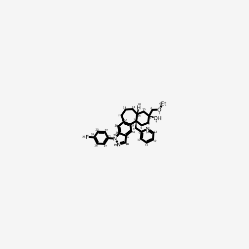 CCOC[C@]1(O)CC[C@]2(Cc3ccccn3)c3cc4cnn(-c5ccc(F)cc5)c4cc3CCC[C@@H]2C1